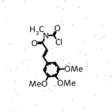 COc1cc(/C=C/C(=O)N(C)C(=O)Cl)cc(OC)c1OC